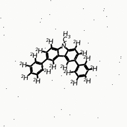 [2H]c1c([2H])c([2H])c(-c2c([2H])c([2H])c3c(c2[2H])c2c([2H])c(-c4c([2H])c([2H])c([2H])c([2H])c4[2H])c([2H])c([2H])c2n3C)c([2H])c1[2H]